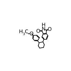 CCOc1ccc(C2CCCCC2c2ccc3c(c2)C(=O)NC3=O)cc1